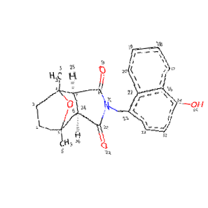 CC12CCC(C)(O1)[C@H]1C(=O)N(c3ccc(O)c4ccccc34)C(=O)[C@H]12